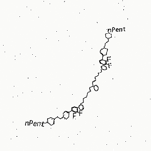 CCCCCC1CCC(CCC2CC=C(c3ccc(OCCCCCCCC(=O)CCCCCCCOc4ccc(C5=CCC(CCC6CCC(CCCCC)CC6)CC5)c(F)c4F)c(F)c3F)CC2)CC1